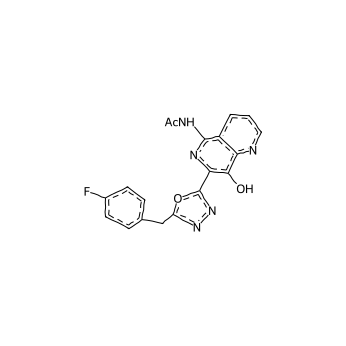 CC(=O)Nc1nc(-c2nnc(Cc3ccc(F)cc3)o2)c(O)c2ncccc12